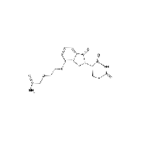 NC(=O)COCCSc1cccc2c1CN(C1CCC(=O)NC1=O)C2=O